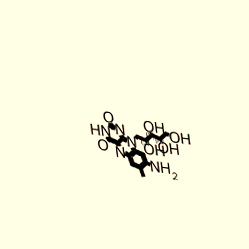 Cc1cc2nc3c(=O)[nH]c(=O)nc-3n(C[C@H](O)[C@H](O)[C@H](O)CO)c2cc1N